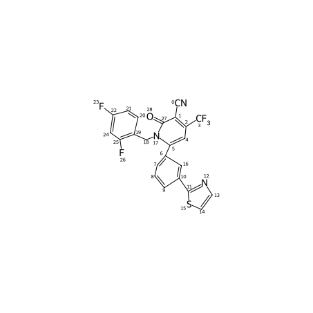 N#Cc1c(C(F)(F)F)cc(-c2cccc(-c3nccs3)c2)n(Cc2ccc(F)cc2F)c1=O